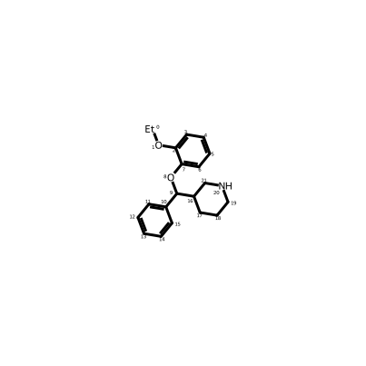 CCOc1ccccc1OC(c1ccccc1)C1CCCNC1